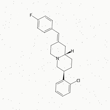 Fc1ccc(/C=C2\CCN3C[C@H](c4ccccc4Cl)CC[C@H]3C2)cc1